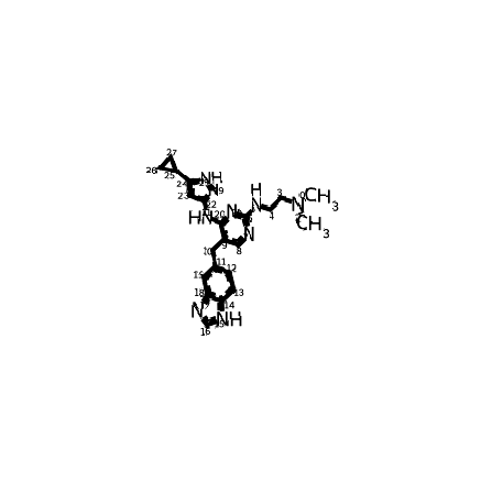 CN(C)CCNc1ncc(Cc2ccc3[nH]cnc3c2)c(Nc2cc(C3CC3)[nH]n2)n1